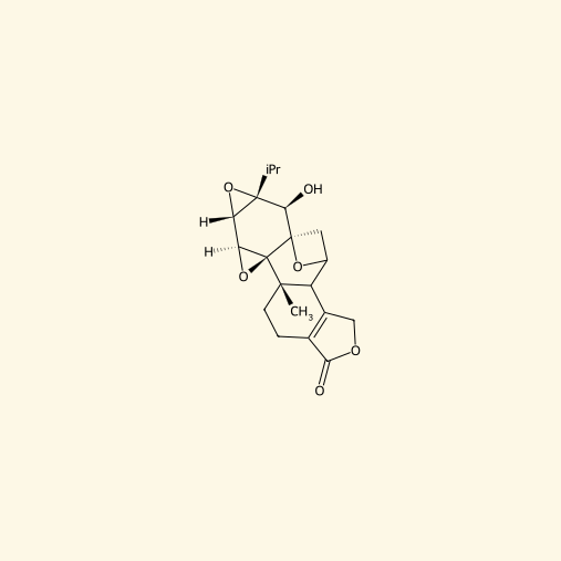 CC(C)[C@]12O[C@H]1[C@@H]1O[C@@]13[C@@]1(C)CCC4=C(COC4=O)C1C1C[C@@]3(O1)[C@@H]2O